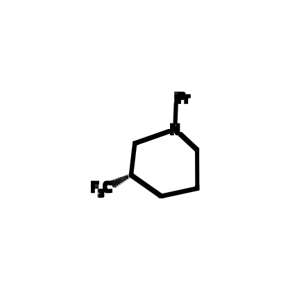 CC(C)N1CCC[C@H](C(F)(F)F)C1